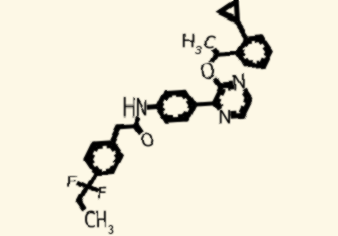 CCC(F)(F)c1ccc(CC(=O)Nc2ccc(-c3nccnc3OC(C)c3ccccc3C3CC3)cc2)cc1